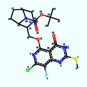 CSc1nc2c(F)c(Cl)nc(OCC3NCC4CCC3N4C(=O)OC(C)(C)C)c2c(=O)[nH]1